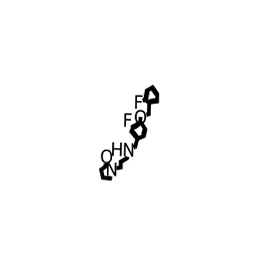 O=C1CCCN1CCCNCc1ccc(OCc2ccccc2F)c(F)c1